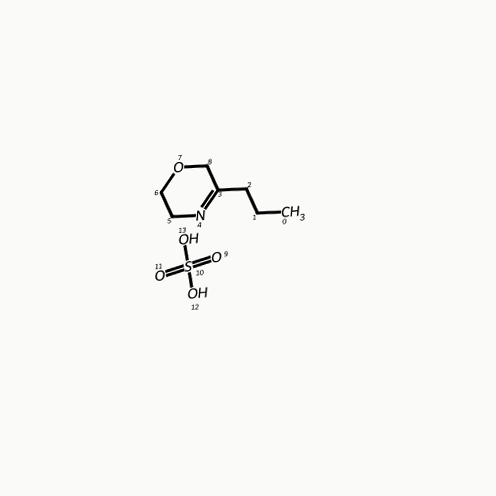 CCCC1=NCCOC1.O=S(=O)(O)O